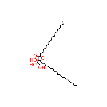 CCCCCCCCCCCCCCCCCCC(=O)C(O)(C(=O)CCCCCCCCCCCCCCCCCC)C(O)CO